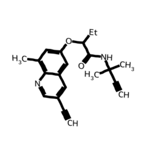 C#Cc1cnc2c(C)cc(OC(CC)C(=O)NC(C)(C)C#C)cc2c1